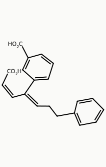 O=C(O)/C=C\C(=C\CCc1ccccc1)c1cccc(C(=O)O)c1